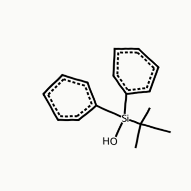 CC(C)(C)[Si](O)(c1ccccc1)c1ccccc1